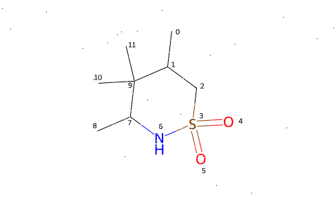 CC1CS(=O)(=O)NC(C)C1(C)C